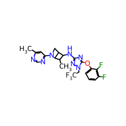 Cc1cc(N2CC3C(Nc4nc(Oc5cccc(F)c5F)n(CC(F)(F)F)n4)C(C)C32)ncn1